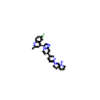 Cc1cc(-c2cnc3cc(-c4ccc(N5CCC6(CCCN6)C5)nc4)ccn23)c2cc(F)ccc2n1